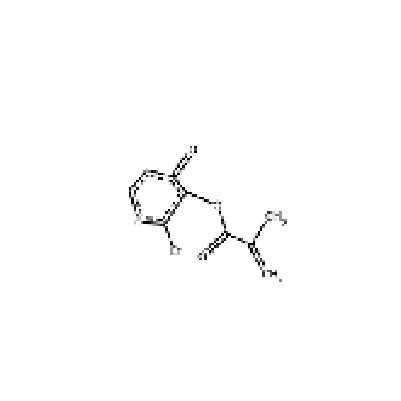 C=C(C)C(=O)Oc1c(CC)occc1=O